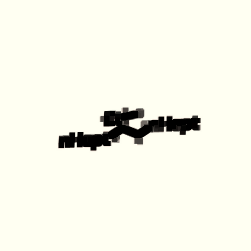 C[CH]C.[CH2]CCCCCCCCCCCCCCC